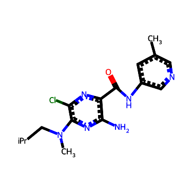 Cc1cncc(NC(=O)c2nc(Cl)c(N(C)CC(C)C)nc2N)c1